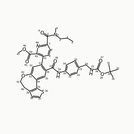 CCCN(C)C(=O)c1ccc(-c2cc3c(cc2C(=O)Nc2ccc(CNC(=O)OC(C)(C)C)cc2)-c2sccc2CCO3)c(C(=O)OC)n1